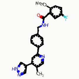 COc1ccc(F)cc1C(=O)NCc1ccc(-c2cc(-c3cn[nH]c3)c(C)cn2)cc1